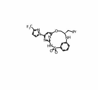 CC(C)C[C@@H]1COc2cc(-n3ccc(C(F)(F)F)n3)nc(n2)NS(=O)(=O)c2cccc(c2)N1